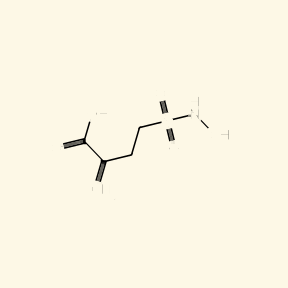 C=C(CCS(=O)(=O)NC)C(=O)O